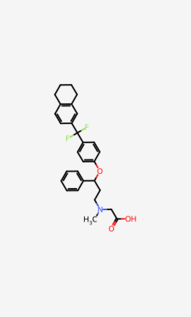 CN(CCC(Oc1ccc(C(F)(F)c2ccc3c(c2)CCCC3)cc1)c1ccccc1)CC(=O)O